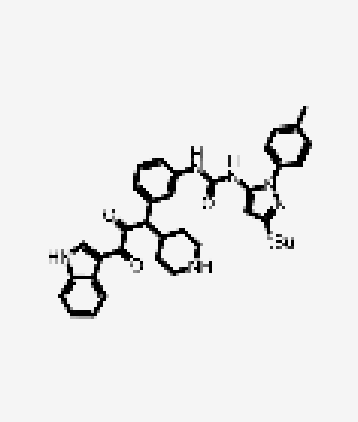 Cc1ccc(-n2nc(C(C)(C)C)cc2NC(=O)Nc2cccc(C(C(=O)C(=O)c3c[nH]c4ccccc34)C3CCNCC3)c2)cc1